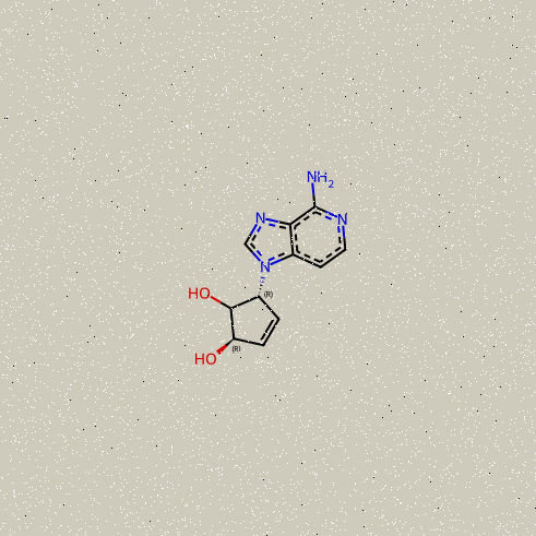 Nc1nccc2c1ncn2[C@@H]1C=C[C@@H](O)C1O